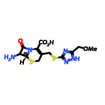 COCc1nc(SCC2=C(C(=O)O)N3C(=O)C(N)[C@@H]3SC2)n[nH]1